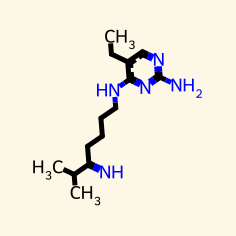 CCc1cnc(N)nc1NCCCCC(=N)C(C)C